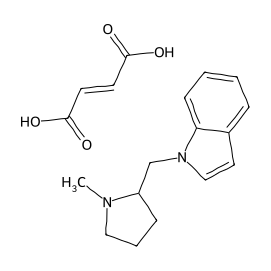 CN1CCCC1Cn1ccc2ccccc21.O=C(O)/C=C/C(=O)O